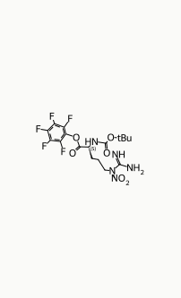 CC(C)(C)OC(=O)N[C@@H](CCCN(C(=N)N)[N+](=O)[O-])C(=O)Oc1c(F)c(F)c(F)c(F)c1F